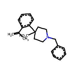 C=C(C)c1ccccc1C1(C(=O)O)CCN(Cc2ccccc2)CC1